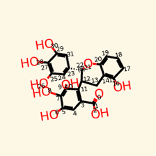 O=C(O)c1cc(O)c(O)c(O)c1C1Cc2c(O)cccc2O[C@H]1c1cc(O)c(O)c(O)c1